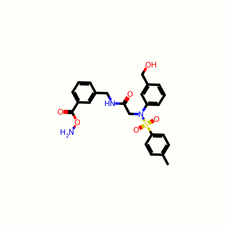 Cc1ccc(S(=O)(=O)N(CC(=O)NCc2cccc(C(=O)ON)c2)c2cccc(CO)c2)cc1